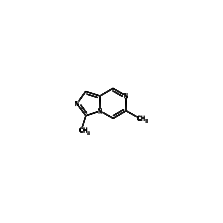 Cc1cn2c(C)ncc2cn1